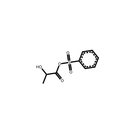 CC(O)C(=O)OS(=O)(=O)c1ccccc1